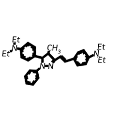 CCN(CC)c1ccc(C=CC2=NN(c3ccccc3)C(c3ccc(N(CC)CC)cc3)C2C)cc1